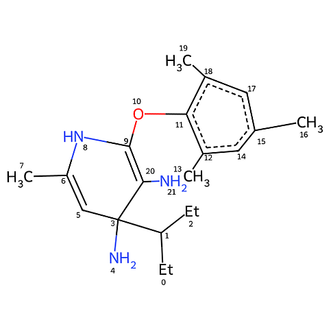 CCC(CC)C1(N)C=C(C)NC(Oc2c(C)cc(C)cc2C)=C1N